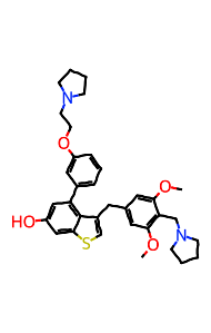 COc1cc(Cc2csc3cc(O)cc(-c4cccc(OCCN5CCCC5)c4)c23)cc(OC)c1CN1CCCC1